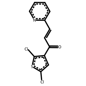 O=C(/C=C/c1ccccn1)c1cc(Cl)sc1Cl